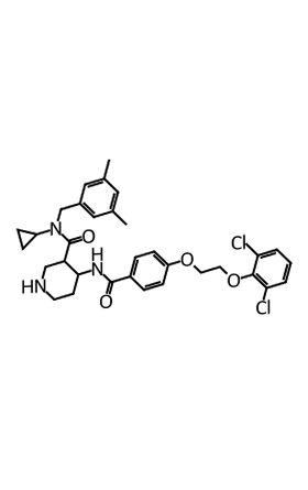 Cc1cc(C)cc(CN(C(=O)C2CNCCC2NC(=O)c2ccc(OCCOc3c(Cl)cccc3Cl)cc2)C2CC2)c1